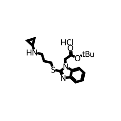 CC(C)(C)OC(=O)Cn1c(SCCCNC2CC2)nc2ccccc21.Cl